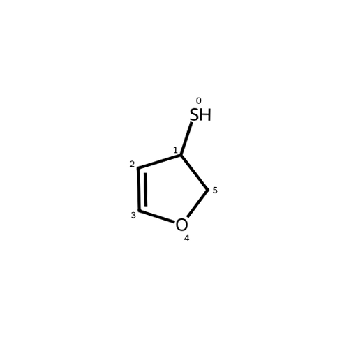 SC1C=COC1